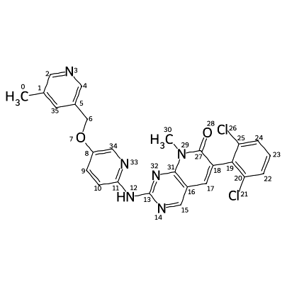 Cc1cncc(COc2ccc(Nc3ncc4cc(-c5c(Cl)cccc5Cl)c(=O)n(C)c4n3)nc2)c1